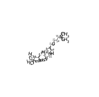 CCCC[C@](C)(O)C/C=C/[C@@H]1[C@H]2CC(COCCCN(C)C)=C[C@H]2C[C@H]1O